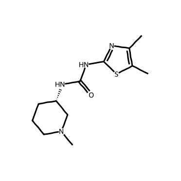 Cc1nc(NC(=O)N[C@H]2CCCN(C)C2)sc1C